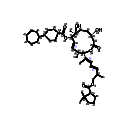 C/C(=C\C=C\C(C)COC(=O)N1CCCC1(C)C)[C@H]1OC(=O)C[C@@H](O)CC[C@](C)(O)[C@@H](OC(=O)N2CCN(C3CCCCCC3)CC2)/C=C/[C@@H]1C